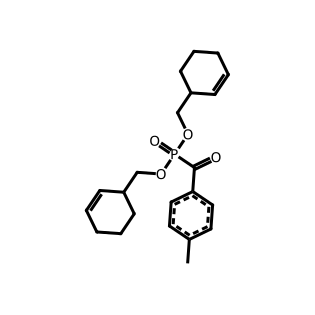 Cc1ccc(C(=O)P(=O)(OCC2C=CCCC2)OCC2C=CCCC2)cc1